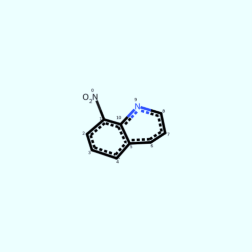 O=[N+]([O-])c1cc[c]c2cccnc12